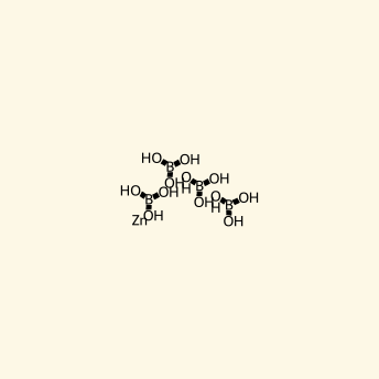 OB(O)O.OB(O)O.OB(O)O.OB(O)O.[Zn]